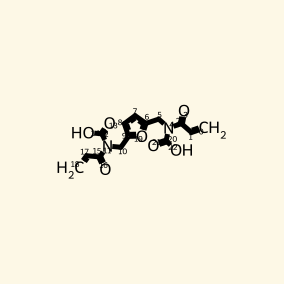 C=CC(=O)N(Cc1ccc(CN(C(=O)O)C(=O)C=C)o1)C(=O)O